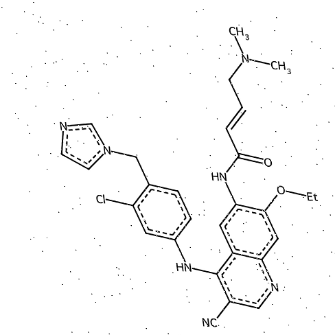 CCOc1cc2ncc(C#N)c(Nc3ccc(Cn4ccnc4)c(Cl)c3)c2cc1NC(=O)C=CCN(C)C